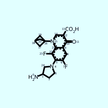 NC1CCN(c2c(F)cc3c(=O)c(C(=O)O)cn(C45CC(C4)C5)c3c2F)C1